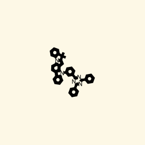 CC1(C)c2ccccc2-n2c1cc1c2ccc2c3ccccc3n(-c3cccc(-c4nc(-c5ccccc5)nc(-c5ccccc5)n4)c3)c21